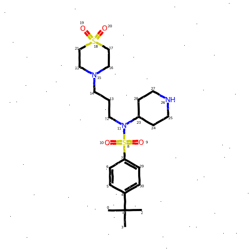 CC(C)(C)c1ccc(S(=O)(=O)N(CCCN2CCS(=O)(=O)CC2)C2CCNCC2)cc1